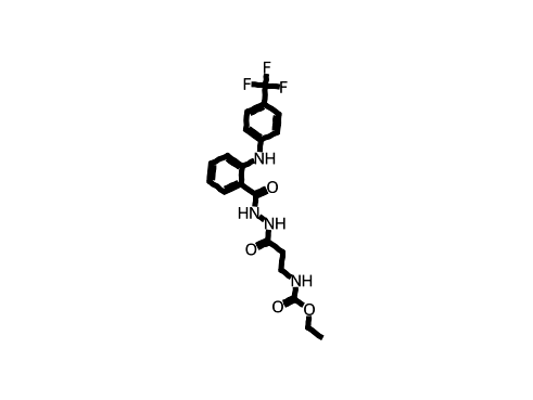 CCOC(=O)NCCC(=O)NNC(=O)c1ccccc1Nc1ccc(C(F)(F)F)cc1